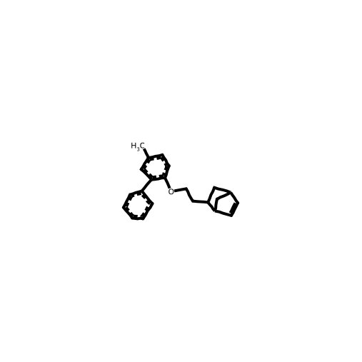 Cc1ccc(OCCC2CC3C=CC2C3)c(-c2ccccc2)c1